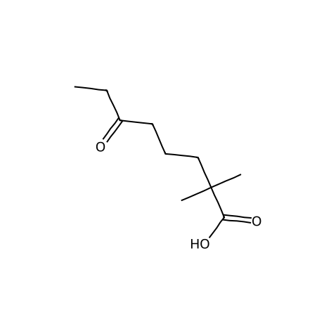 CCC(=O)CCCC(C)(C)C(=O)O